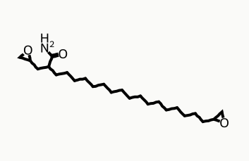 NC(=O)C(CCCCCCCCCCCCCCCCCC1CO1)CC1CO1